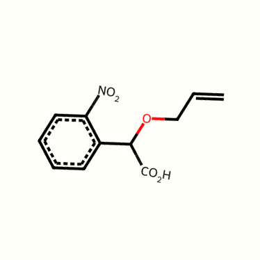 C=CCOC(C(=O)O)c1ccccc1[N+](=O)[O-]